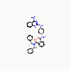 C[C@H](c1ccccc1)N(C(=O)c1ccccc1C(=O)N[C@H]1CC[C@@H](Nc2nc(N(C)C)c3ccccc3n2)CC1)[C@H](C)c1ccccc1